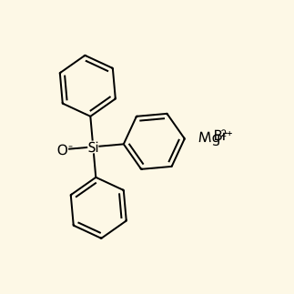 [Br-].[Mg+2].[O-][Si](c1ccccc1)(c1ccccc1)c1ccccc1